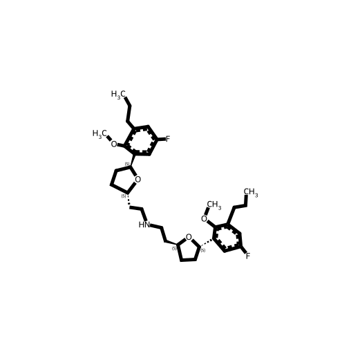 CCCc1cc(F)cc([C@@H]2CC[C@@H](CCNCC[C@@H]3CC[C@@H](c4cc(F)cc(CCC)c4OC)O3)O2)c1OC